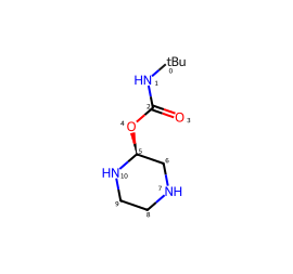 CC(C)(C)NC(=O)O[C@H]1CNCCN1